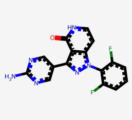 Nc1ncc(-c2nn(-c3c(F)cccc3F)c3cc[nH]c(=O)c23)cn1